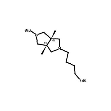 CC(C)(C)CCCCN1C[C@@]2(C)CN(C(C)(C)C)C[C@@]2(C)C1